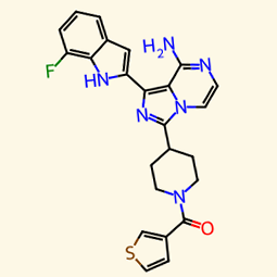 Nc1nccn2c(C3CCN(C(=O)c4ccsc4)CC3)nc(-c3cc4cccc(F)c4[nH]3)c12